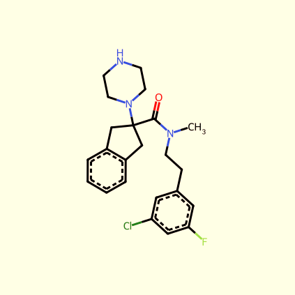 CN(CCc1cc(F)cc(Cl)c1)C(=O)C1(N2CCNCC2)Cc2ccccc2C1